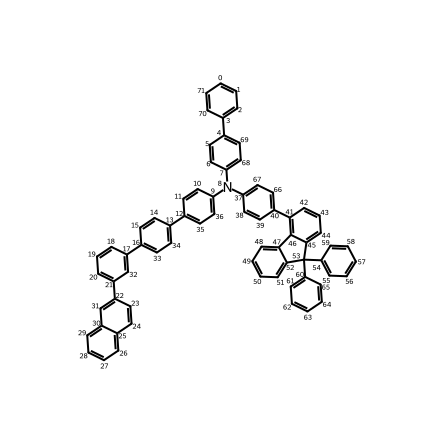 c1ccc(-c2ccc(N(c3ccc(-c4ccc(-c5cccc(-c6ccc7ccccc7c6)c5)cc4)cc3)c3ccc(-c4cccc5c4-c4ccccc4C5(c4ccccc4)c4ccccc4)cc3)cc2)cc1